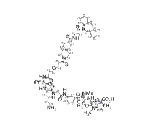 CN[C@H](C(=O)N[C@H](C(=O)N(C)[C@H](/C=C(\C)C(=O)O)C(C)C)C(C)(C)C)C(C)(C)c1cccc(NC(=O)CNC(=O)[C@H](CCCCN)NC(=O)[C@@H](NC(=O)CCOCCC(=O)N2CCC3(CCC(C(=O)NCCC(=O)N4Cc5ccccc5/C=C\c5ccccc54)CC3)CC2)C(C)C)c1